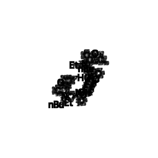 CCCCC(CC)Cn1c2ccc(C(=NO)c3ccccc3OCC(F)(F)C(F)(F)C(F)(F)C(F)(F)COc3ccccc3C(=NO)c3ccc4c(c3)c3cc(C(=O)c5c(C)cc(C)cc5C)c5ccccc5c3n4CC(CC)CCCC)cc2c2cc(C(=O)c3c(C)cc(C)cc3C)c3ccccc3c21